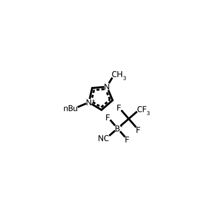 CCCC[n+]1ccn(C)c1.N#C[B-](F)(F)C(F)(F)C(F)(F)F